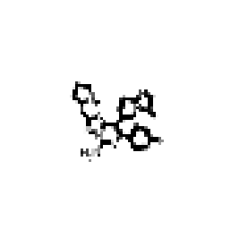 Cc1cnc2ccc(-c3c(-c4ccc(F)cc4)nc(N)n4nc(C[C@@H]5CCCN5C)nc34)cn12